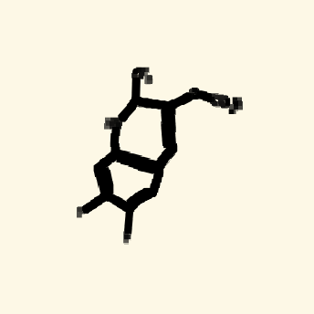 O=C(O)OC1=Cc2cc(F)c(F)cc2NC1C(F)(F)F